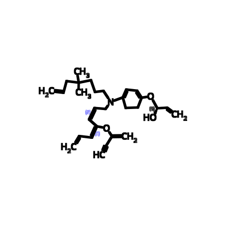 C#CC(=C)OC(/C=C\CN(CCCC(C)(C)CC=C)C1=CC=C(O[C@H](O)C=C)CC1)=C/C=C